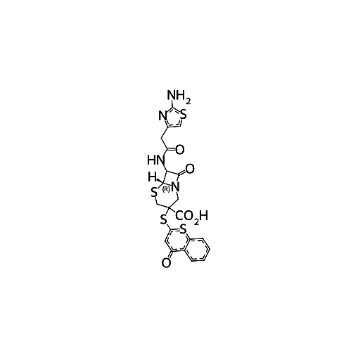 Nc1nc(CC(=O)NC2C(=O)N3CC(Sc4cc(=O)c5ccccc5s4)(C(=O)O)CS[C@H]23)cs1